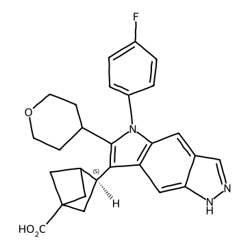 O=C(O)C12CC(C1)[C@@H](c1c(C3CCOCC3)n(-c3ccc(F)cc3)c3cc4cn[nH]c4cc13)C2